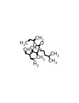 C=CC(=C)OC(=O)N(CCC(C)C)C(=C)C(=C)C(C=C)C=C